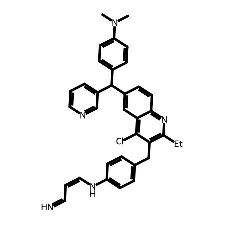 CCc1nc2ccc(C(c3ccc(N(C)C)cc3)c3cccnc3)cc2c(Cl)c1Cc1ccc(N/C=C\C=N)cc1